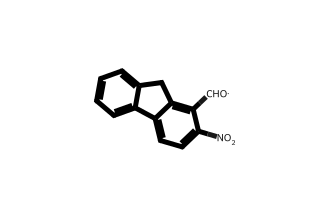 O=[C]c1c([N+](=O)[O-])ccc2c1Cc1ccccc1-2